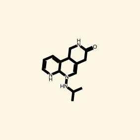 CC(C)NN1C=C2CC(=O)NCC2C2=CC=CNC21